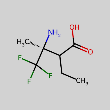 CCC(C(=O)O)[C@](C)(N)C(F)(F)F